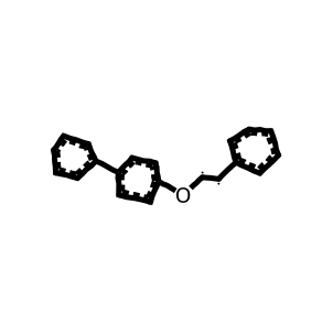 [CH]([CH]c1ccccc1)Oc1ccc(-c2ccccc2)cc1